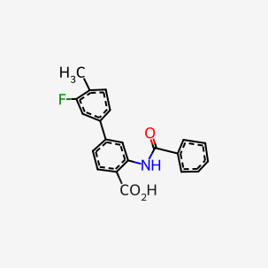 Cc1ccc(-c2ccc(C(=O)O)c(NC(=O)c3ccccc3)c2)cc1F